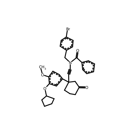 COc1ccc(C2(C#CN(Cc3ccc(Br)cc3)C(=O)c3ccccc3)CCCC(=O)C2)cc1OC1CCCC1